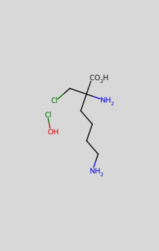 NCCCCC(N)(CCl)C(=O)O.OCl